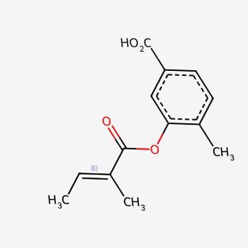 C/C=C(\C)C(=O)Oc1cc(C(=O)O)ccc1C